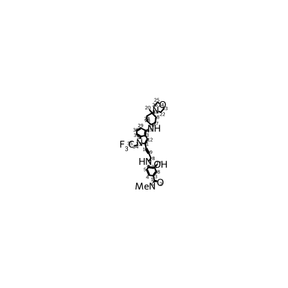 CNC(=O)c1ccc(NCC#Cc2cc3c(NC4CCC(C)(N5CCOCC5)CC4)cccc3n2CC(F)(F)F)c(O)c1